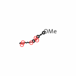 C=CC(=O)OCCCCCCOc1ccc(C(=O)Oc2ccc(C#Cc3ccc(OC)cc3)cc2)cc1